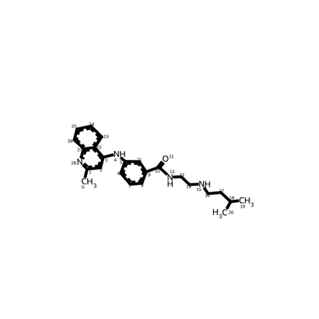 Cc1cc(Nc2cccc(C(=O)NCCNCCC(C)C)c2)c2ccccc2n1